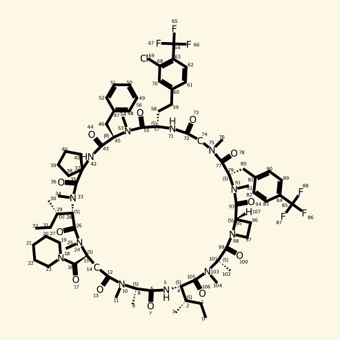 CC[C@H](C)[C@@H]1NC(=O)[C@H](C)N(C)C(=O)C[C@@H](C(=O)N2CCCCC2)N(C)C(=O)[C@H]([C@@H](C)CC)N(C)C(=O)C2(CCCC2)NC(=O)[C@@H](Cc2ccccc2)N(C)C(=O)[C@H](CCc2ccc(C(F)(F)F)c(Cl)c2)NC(=O)CN(C)C(=O)[C@H](Cc2ccc(C(F)(F)F)cc2)N(C)C(=O)[C@@H]2CCN2C(=O)[C@H](C)N(C)C1=O